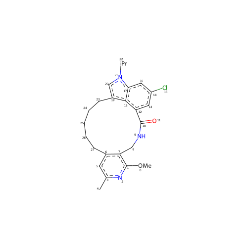 COc1nc(C)cc2c1CNC(=O)c1cc(Cl)cc3c1c(cn3C(C)C)CCCCC2